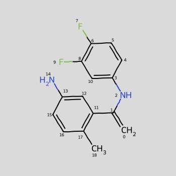 C=C(Nc1ccc(F)c(F)c1)c1cc(N)ccc1C